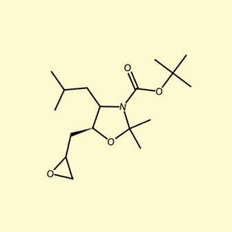 CC(C)CC1[C@H](CC2CO2)OC(C)(C)N1C(=O)OC(C)(C)C